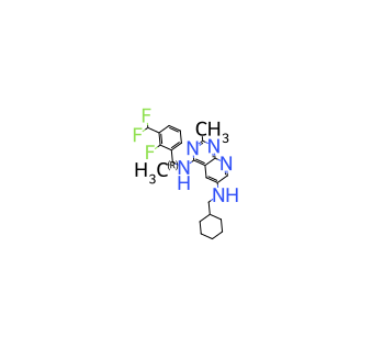 Cc1nc(N[C@H](C)c2cccc(C(F)F)c2F)c2cc(NCC3CCCCC3)cnc2n1